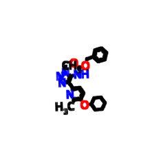 Cc1nc(-c2nnn(C)c2NC(=O)OCc2ccccc2)ccc1OC1CCCCC1